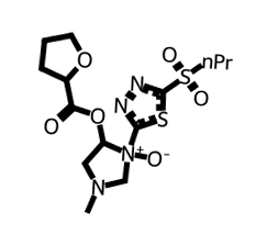 CCCS(=O)(=O)c1nnc([N+]2([O-])CN(C)CC2OC(=O)C2CCCO2)s1